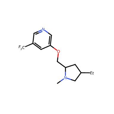 CCC1CC(COc2cncc(C(F)(F)F)c2)N(C)C1